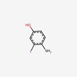 Oc1ccc([SiH3])c(I)c1